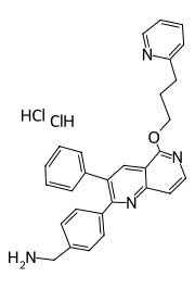 Cl.Cl.NCc1ccc(-c2nc3ccnc(OCCCc4ccccn4)c3cc2-c2ccccc2)cc1